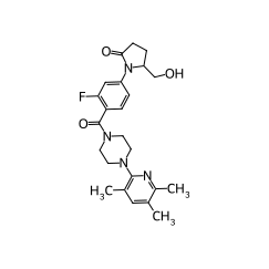 Cc1cc(C)c(N2CCN(C(=O)c3ccc(N4C(=O)CCC4CO)cc3F)CC2)nc1C